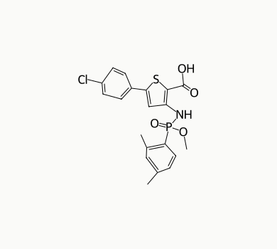 COP(=O)(Nc1cc(-c2ccc(Cl)cc2)sc1C(=O)O)c1ccc(C)cc1C